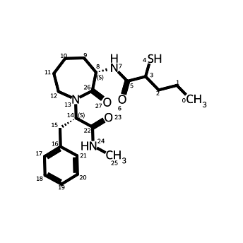 CCCC(S)C(=O)N[C@H]1CCCCN([C@@H](Cc2ccccc2)C(=O)NC)C1=O